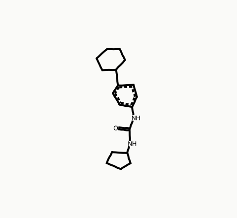 O=C(Nc1ccc(C2CCCCC2)cc1)NC1CCCC1